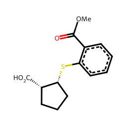 COC(=O)c1ccccc1S[C@@H]1CCC[C@@H]1C(=O)O